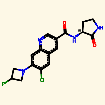 O=C(N[C@H]1CCNC1=O)c1cnc2cc(N3CC(F)C3)c(Cl)cc2c1